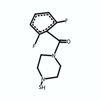 O=C(c1c(F)cccc1F)N1CCN(S)CC1